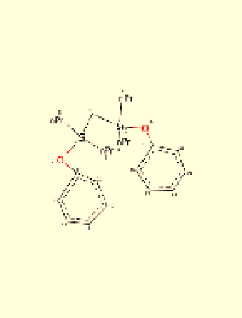 CCC[Si](CCC)(C[Si](CCC)(CCC)Oc1ccccc1)Oc1ccccc1